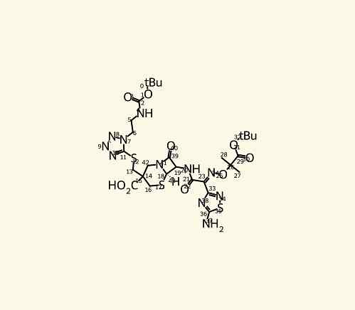 CC(C)(C)OC(=O)NCCn1nnnc1SCC1(C(=O)O)CS[C@@H]2C(NC(=O)C(=NOC(C)(C)C(=O)OC(C)(C)C)c3nsc(N)n3)C(=O)N2C1